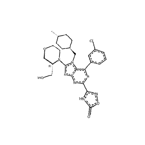 C[C@H]1CC[C@H](Cn2c(N3CCOC[C@H]3CO)nc3nc(-c4noc(=O)[nH]4)nc(-c4cccc(Cl)c4)c32)CC1